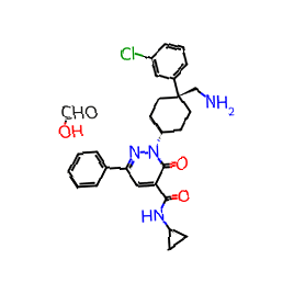 NC[C@]1(c2cccc(Cl)c2)CC[C@@H](n2nc(-c3ccccc3)cc(C(=O)NC3CC3)c2=O)CC1.O=CO